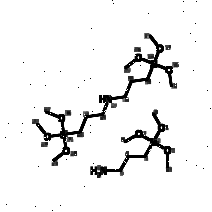 CO[Si](CCCN)(OC)OC.CO[Si](CCCNCCC[Si](OC)(OC)OC)(OC)OC